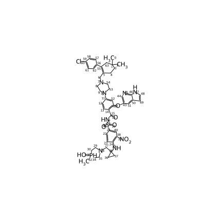 CC1(C)CCC(CN2CCN(c3ccc(C(=O)NS(=O)(=O)c4ccc(NC5(CN6CC[PH](C)(O)CC6)CC5)c([N+](=O)[O-])c4)c(Oc4cnc5[nH]ccc5c4)c3)CC2)=C(c2ccc(Cl)cc2)C1